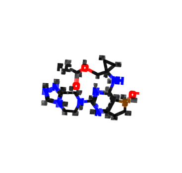 O=C(OCC1(Nc2nc(N3CCn4cnnc4C3)nc3c2[S+]([O-])CC3)CC1)C(F)(F)F